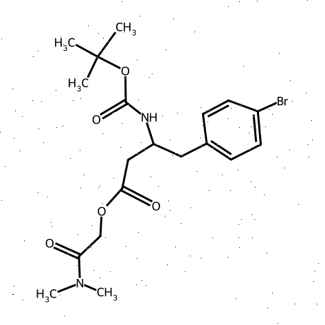 CN(C)C(=O)COC(=O)CC(Cc1ccc(Br)cc1)NC(=O)OC(C)(C)C